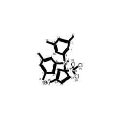 Cc1cc(C)cc([Si](C)(c2cc(C)cc(C)c2)[C]2([Ti]([Cl])([Cl])[Cl])C=CC(C(C)(C)C)=C2)c1